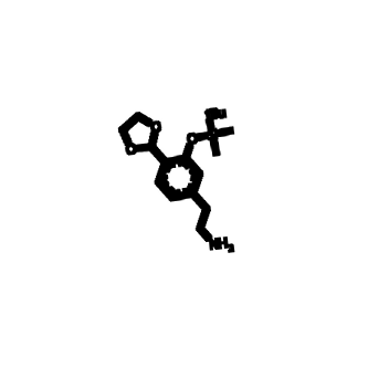 CC(C)(C)[Si](C)(C)Oc1cc(CCN)ccc1C1OCCO1